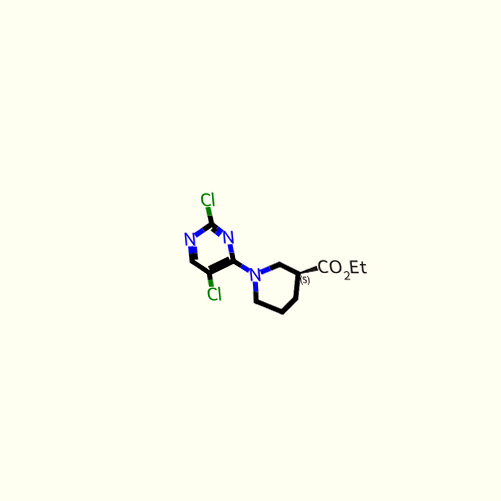 CCOC(=O)[C@H]1CCCN(c2nc(Cl)ncc2Cl)C1